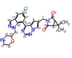 CC1(C)C2C(=O)N(Cc3cc4c(-c5cc(Cl)cc6cnn(CC7CNCCO7)c56)ncnn4c3)C(=O)C21